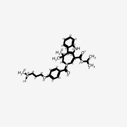 CC(C)OC(=O)C1=CN(C(=O)c2ccc(OCCCN(C)I)cc2)CC(C)(C)c2c1[nH]c1ccccc21